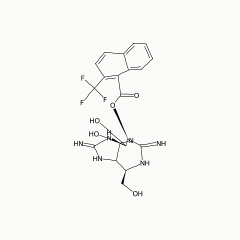 N=C1NC2[C@H](CO)NC(=N)N3C[C@H](OC(=O)c4c(C(F)(F)F)ccc5ccccc45)C(O)(O)[C@]23N1